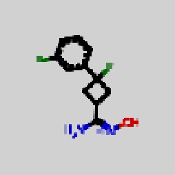 N/C(=N/O)C1CC(F)(c2cccc(F)c2)C1